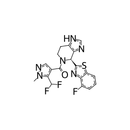 Cn1ncc(C(=O)N2CCc3[nH]cnc3[C@H]2c2nc3c(F)cccc3s2)c1C(F)F